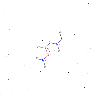 CCN(C)C[C@@H](C)ON(C)C